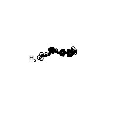 COC(=O)CSCc1cccc(OCc2ccc(-c3ccc4c(c3)OCO4)cc2)c1